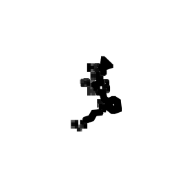 CC(C)(C)C(NC(=O)c1nn(CCCCN)c2ccccc12)C(=O)NCC1(O)CC1